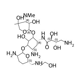 CN[C@@H]1C(O)[C@@H](OC2C(O)C(OC3O[C@H](CNCCO)CCC3N)[C@@H](N)C[C@H]2NC(=O)[C@@H](O)[C@@H](O)CN)OCC1(C)O